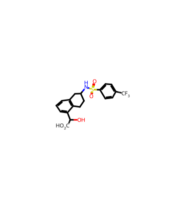 O=C(O)C(O)c1cccc2c1CCC(NS(=O)(=O)c1ccc(C(F)(F)F)cc1)C2